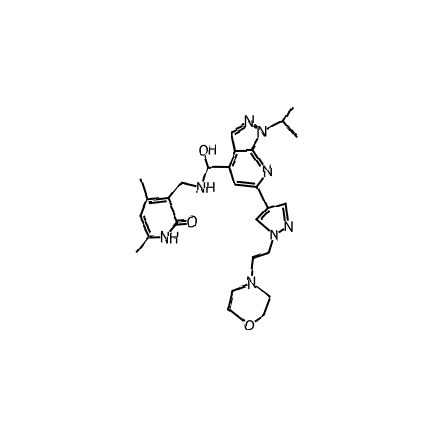 Cc1cc(C)c(CNC(O)c2cc(-c3cnn(CCN4CCOCC4)c3)nc3c2cnn3C(C)C)c(=O)[nH]1